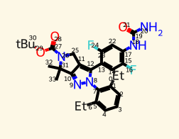 CCc1cccc(CC)c1-n1nc2c(c1-c1cc(F)c(NC(N)=O)cc1F)CN(C(=O)OC(C)(C)C)C2(C)C